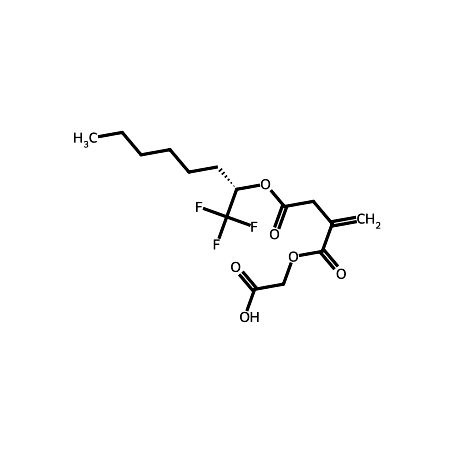 C=C(CC(=O)O[C@@H](CCCCCC)C(F)(F)F)C(=O)OCC(=O)O